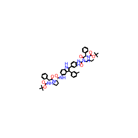 CCCCN(C(=O)Nc1ccc(-c2[nH]c3ccc(NC(=O)[C@@H]4CCCN4C(=O)[C@H](NC(=O)OC(C)(C)C)c4ccccc4)cc3c2-c2cccc(C)c2)cc1)C(=O)[C@H](NC(=O)OC(C)(C)C)c1ccccc1